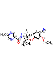 CCOc1cc(O[C@H]2C(C)(C)[C@H](NC(=O)c3cnc(C)cn3)C2(C)C)ccc1C#N